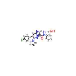 O=C(N[C@H]1CCCC[C@@H]1CO)c1cnc2ccc(N3CCC[C@@H]3c3cccc(F)c3)nn12